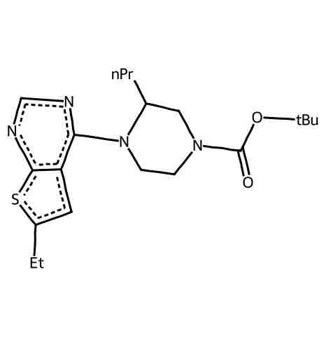 CCCC1CN(C(=O)OC(C)(C)C)CCN1c1ncnc2sc(CC)cc12